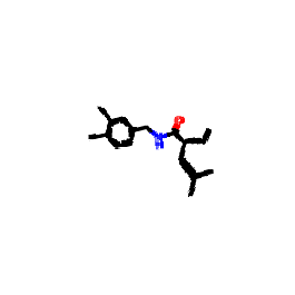 C/C=C(/C=C(C)C)C(=O)NCc1ccc(C)c(C)c1